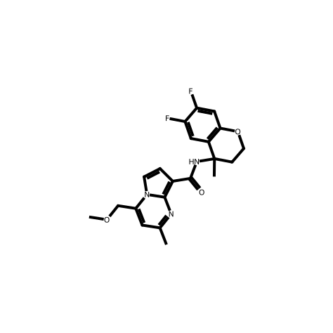 COCc1cc(C)nc2c(C(=O)NC3(C)CCOc4cc(F)c(F)cc43)ccn12